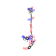 O=C(CCCC[C@@H]1SC[C@H]2NC(=O)N[C@@H]12)NCCCOCCOCCOCCCNC(=O)[C@@H](CC(=O)N1C(=O)SC(Cc2ccc(O)cc2)C1=O)NC(=O)c1ccc(C2(C(F)(F)F)N=N2)cc1